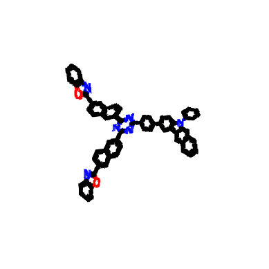 c1ccc(-n2c3ccc(-c4ccc(-c5nc(-c6ccc7cc(-c8nc9ccccc9o8)ccc7c6)nc(-c6ccc7cc(-c8nc9ccccc9o8)ccc7c6)n5)cc4)cc3c3cc4ccccc4cc32)cc1